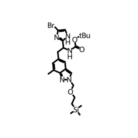 Cc1cc(CC(NC(=O)OC(C)(C)C)c2nc(Br)c[nH]2)cc2cn(COCC[Si](C)(C)C)nc12